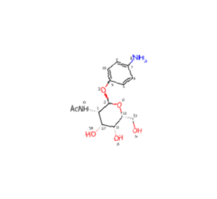 CC(=O)N[C@@H]1[C@@H](Oc2ccc(N)cc2)O[C@H](CO)[C@H](O)[C@@H]1O